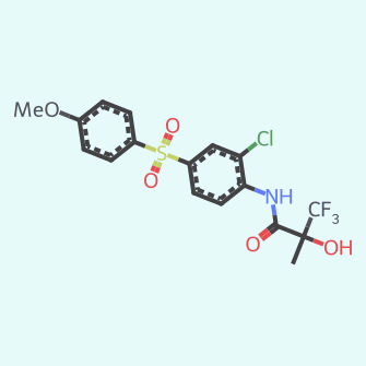 COc1ccc(S(=O)(=O)c2ccc(NC(=O)C(C)(O)C(F)(F)F)c(Cl)c2)cc1